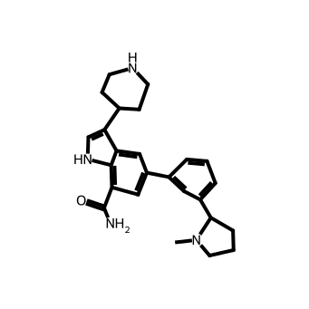 CN1CCCC1c1cccc(-c2cc(C(N)=O)c3[nH]cc(C4CCNCC4)c3c2)c1